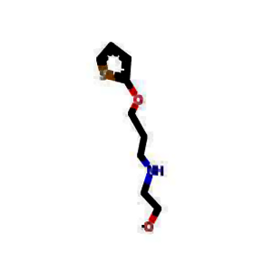 [O]CCNCCCOc1cccs1